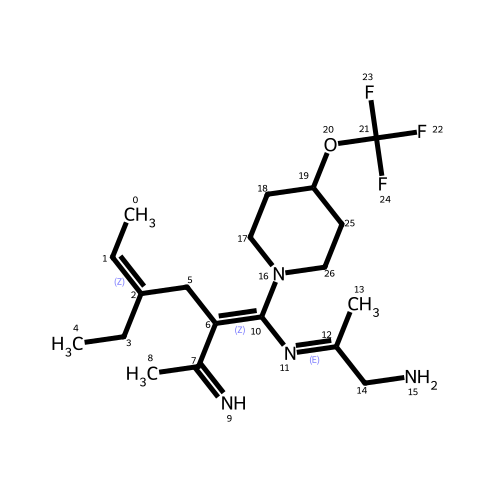 C/C=C(/CC)C/C(C(C)=N)=C(/N=C(\C)CN)N1CCC(OC(F)(F)F)CC1